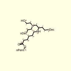 CCCCCCCCCCCCC(CN(CCO)CCCCCCCCCCCC)NCCCCCC(=O)OCCCCC